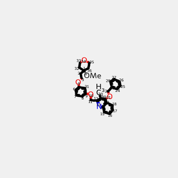 COC1(CCOc2cccc(OCc3nc4ccccc4c(OCc4ccccc4)c3C)c2)CCOCC1